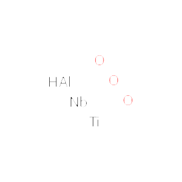 [O]=[AlH].[O]=[Nb].[O]=[Ti]